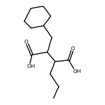 CCCC(C(=O)O)C(CC1CCCCC1)C(=O)O